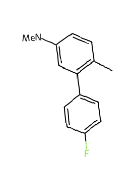 CNc1ccc(C)c(-c2ccc(F)cc2)c1